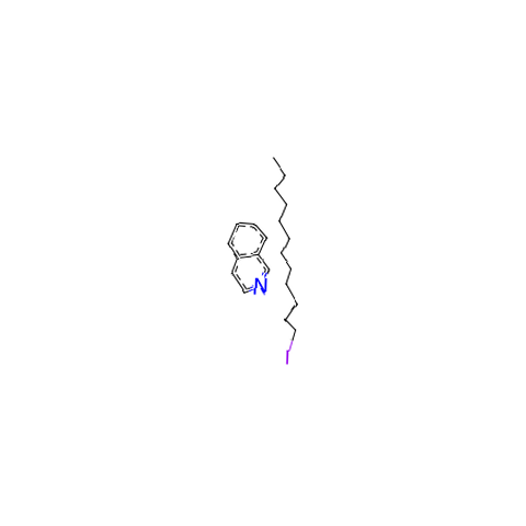 CCCCCCCCCCCCI.c1ccc2cnccc2c1